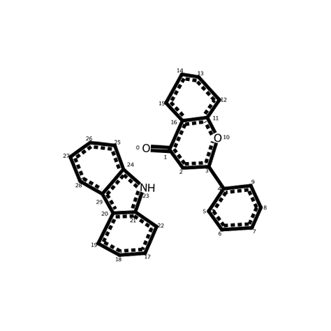 O=c1cc(-c2ccccc2)oc2ccccc12.c1ccc2c(c1)[nH]c1ccccc12